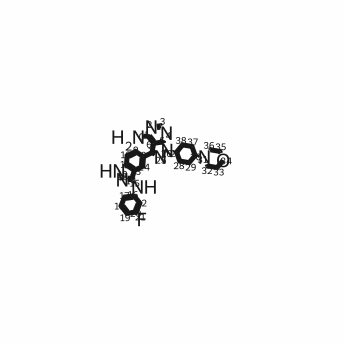 Nc1ncnc2c1c(-c1ccc3[nH]nc(Nc4cccc(F)c4)c3c1)nn2[C@H]1CC[C@H](N2CCOCC2)CC1